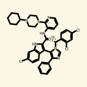 C[C@@H](c1ccc(Cl)cc1Cl)n1cnc(-c2ccccc2)c1-c1c(C(=O)Nc2cccnc2N2CCN(C3CCCCC3)CC2)[nH]c2cc(Cl)ccc12